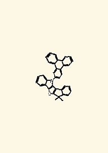 CC1(C)c2ccccc2-c2c1oc1c3ccccc3n(-c3ccc4c5ccccc5c5ccccc5c4c3)c21